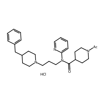 CC(=O)N1CCC(C(=O)N(CCCN2CCC(Cc3ccccc3)CC2)c2ccccn2)CC1.Cl